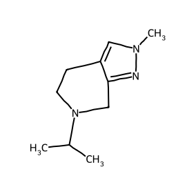 CC(C)N1CCc2cn(C)nc2C1